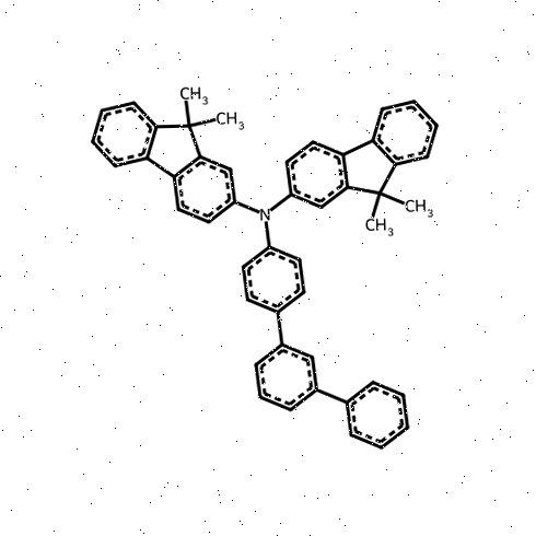 CC1(C)c2ccccc2-c2ccc(N(c3ccc(-c4cccc(-c5ccccc5)c4)cc3)c3ccc4c(c3)C(C)(C)c3ccccc3-4)cc21